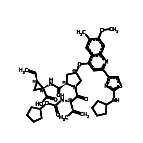 C=C[C@@H]1C[C@]1(NC(=O)[C@@H]1C[C@@H](Oc2cc(-c3csc(NC4CCCC4)n3)nc3cc(OC)c(C)cc23)CN1C(=O)[C@@H](NC(=O)OC1CCCC1)C(=C)C)C(=O)O